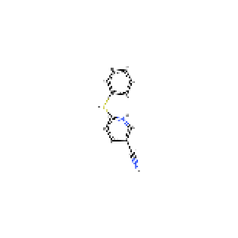 N#Cc1ccc(Sc2ccccc2)nc1